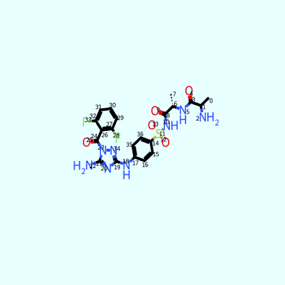 CC(N)C(=O)N[C@@H](C)C(=O)NS(=O)(=O)c1ccc(Nc2nc(N)n(C(=O)c3c(F)cccc3F)n2)cc1